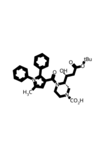 Cc1cc(C(=O)N2CCN(C(=O)O)C[C@H]2[C@H](O)CC(=O)OC(C)(C)C)c(-c2ccccc2)n1-c1ccccc1